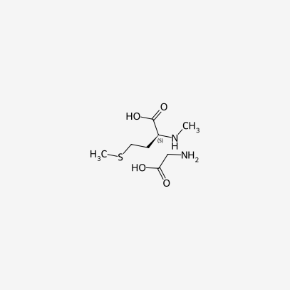 CN[C@@H](CCSC)C(=O)O.NCC(=O)O